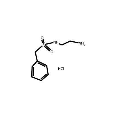 Cl.NCCNS(=O)(=O)Cc1ccccc1